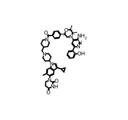 Cc1cc2c(cc1N1CCC(=O)NC1=O)c(C1CC1)cn2C1CCN(CC2CCN(C(=O)c3ccc([C@@H]4CN(c5cc(-c6ccccc6O)nnc5N)[C@H](C)[C@H](C)O4)cc3)CC2)CC1